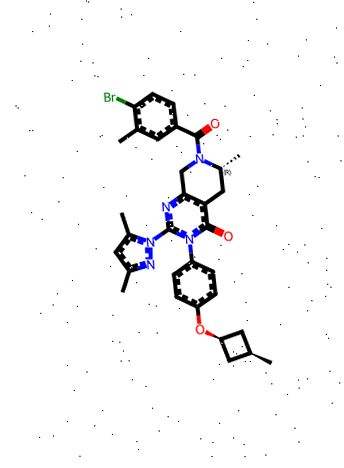 Cc1cc(C)n(-c2nc3c(c(=O)n2-c2ccc(O[C@H]4C[C@@H](C)C4)cc2)C[C@@H](C)N(C(=O)c2ccc(Br)c(C)c2)C3)n1